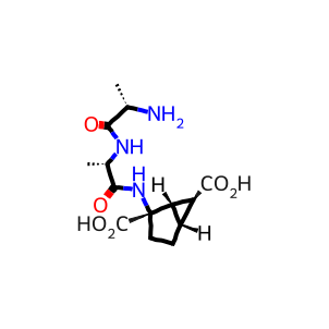 C[C@H](N)C(=O)N[C@@H](C)C(=O)N[C@@]1(C(=O)O)CC[C@H]2[C@H](C(=O)O)[C@H]21